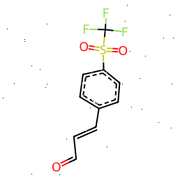 O=CC=Cc1ccc(S(=O)(=O)C(F)(F)F)cc1